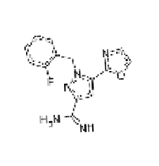 N=C(N)c1cc(-c2ncco2)n(Cc2ccccc2F)n1